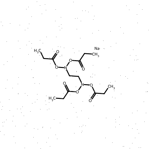 CCC(=O)ON(CCN(OC(=O)CC)OC(=O)CC)OC(=O)CC.[Na]